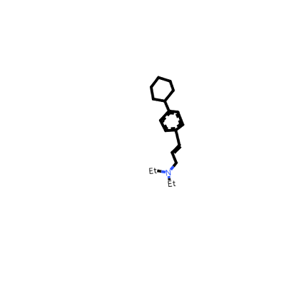 CCN(CC)CC=Cc1ccc(C2CCCCC2)cc1